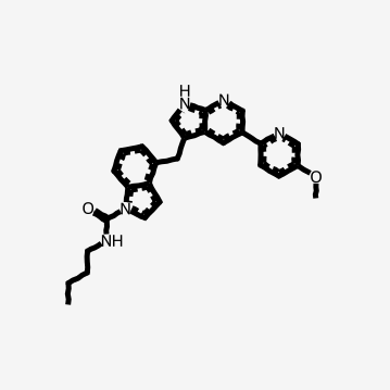 CCCCNC(=O)n1ccc2c(Cc3c[nH]c4ncc(-c5ccc(OC)cn5)cc34)cccc21